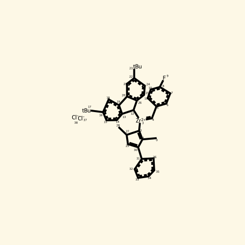 CC1=[C](/[Zr+2](=[CH]/c2ccc(F)cc2)[CH]2c3ccc(C(C)(C)C)cc3-c3cc(C(C)(C)C)ccc32)C(C)C=C1c1ccccc1.[Cl-].[Cl-]